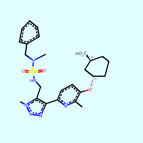 Cc1nc(-c2nnn(C)c2CNS(=O)(=O)N(C)Cc2ccccc2)ccc1O[C@H]1CCC[C@H](C(=O)O)C1